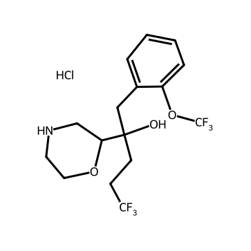 Cl.OC(CCC(F)(F)F)(Cc1ccccc1OC(F)(F)F)C1CNCCO1